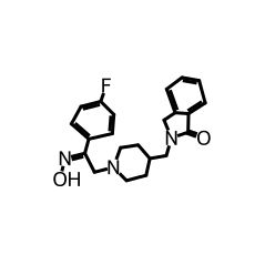 O=C1c2ccccc2CN1CC1CCN(C/C(=N\O)c2ccc(F)cc2)CC1